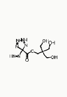 N=NC(N=N)(N=N)C(=O)OCC(CO)(CO)CO